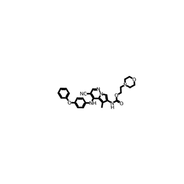 Cc1c(NC(=O)OCCN2CCOCC2)cn2ncc(C#N)c(Nc3ccc(Oc4ccccc4)cc3)c12